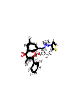 CCN(c1ccsc1C(=O)O)[C@H](C)c1cc(C)cc2c(=O)c(C)c(-c3ccccc3)oc12